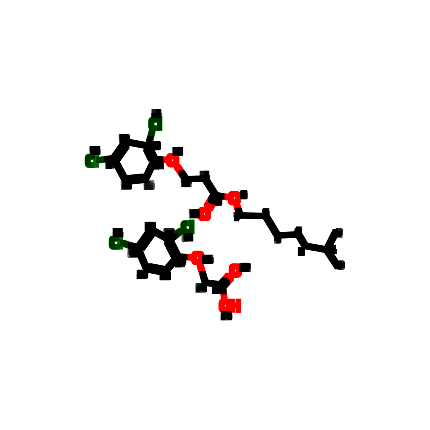 CC(C)CCCCCOC(=O)CCOc1ccc(Cl)cc1Cl.O=C(O)COc1ccc(Cl)cc1Cl